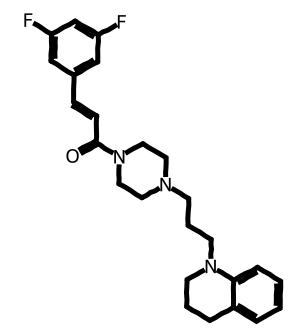 O=C(/C=C/c1cc(F)cc(F)c1)N1CCN(CCCN2CCCc3ccccc32)CC1